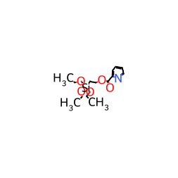 CCO[Si](CCOC(=O)c1ccccn1)(OCC)OCC